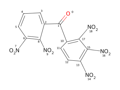 O=C(c1cccc([N+](=O)[O-])c1[N+](=O)[O-])c1ccc([N+](=O)[O-])c([N+](=O)[O-])c1[N+](=O)[O-]